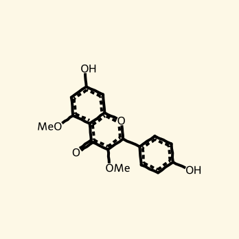 COc1c(-c2ccc(O)cc2)oc2cc(O)cc(OC)c2c1=O